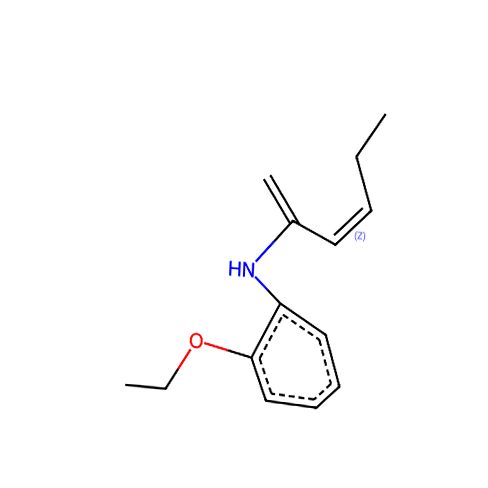 C=C(/C=C\CC)Nc1ccccc1OCC